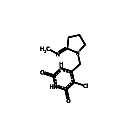 C/N=C1\CCCN1Cc1[nH]c(=O)[nH]c(=O)c1Cl